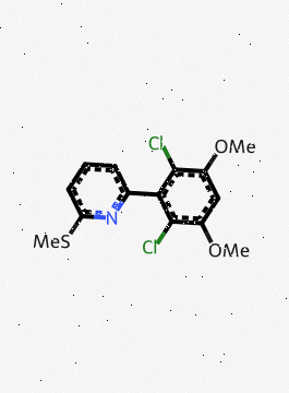 COc1cc(OC)c(Cl)c(-c2cccc(SC)n2)c1Cl